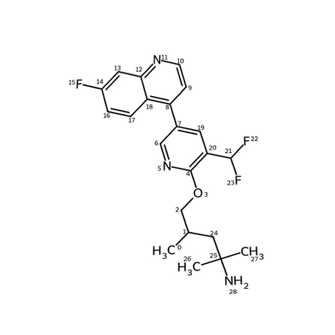 CC(COc1ncc(-c2ccnc3cc(F)ccc23)cc1C(F)F)CC(C)(C)N